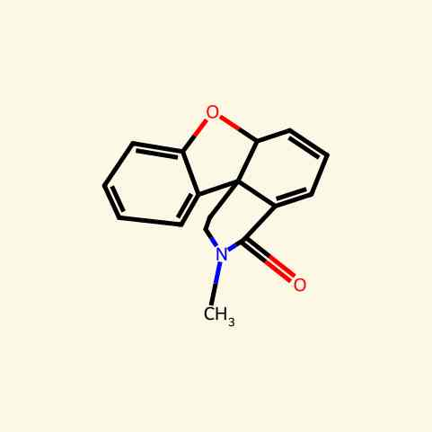 CN1CCC23C(=CC=CC2Oc2ccccc23)C1=O